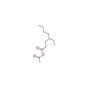 CCCCC(CC)CCC(=O)OC(C)=O